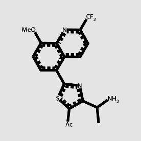 COc1ccc(-c2nc(C(C)N)c(C(C)=O)s2)c2ccc(C(F)(F)F)nc12